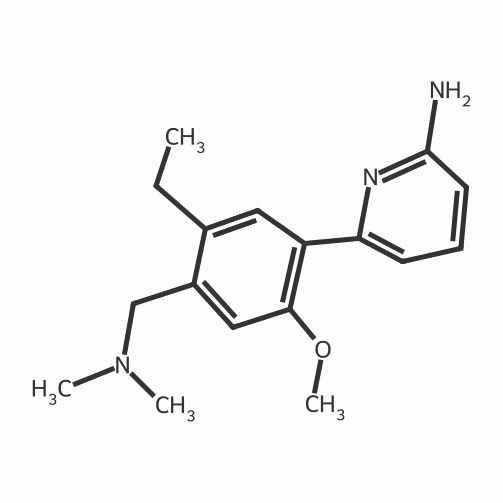 CCc1cc(-c2cccc(N)n2)c(OC)cc1CN(C)C